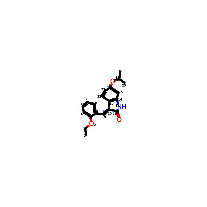 CCOc1ccccc1/C=C1/C(=O)Nc2cc(OC(C)C)ccc21